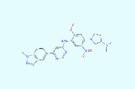 COc1cc(N2CCC(N(C)C)C2)c([N+](=O)[O-])cc1Nc1cc(-c2ccc3c(cnn3C)c2)ncn1